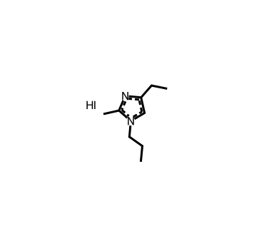 CCCn1cc(CC)nc1C.I